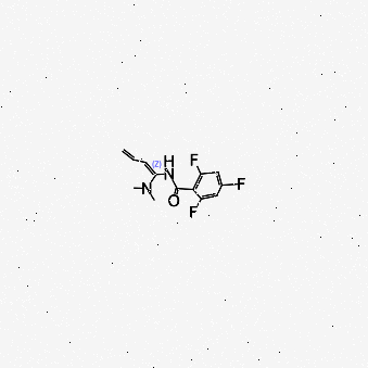 C=C/C=C(/NC(=O)c1c(F)cc(F)cc1F)N(C)C